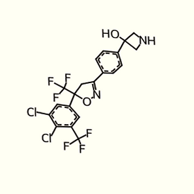 OC1(c2ccc(C3=NOC(c4cc(Cl)c(Cl)c(C(F)(F)F)c4)(C(F)(F)F)C3)cc2)CNC1